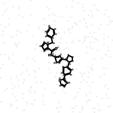 O=C(Nc1nc(C2CCCN2c2ccc(-c3ncco3)cc2)cs1)c1cccn1Cc1ccncc1